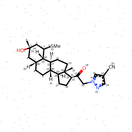 CSC1C[C@@](C)(O)C[C@H]2CC[C@@H]3[C@H](CC[C@]4(C)[C@@H](C(=O)Cn5cc(C#N)cn5)CC[C@@H]34)[C@@H]12